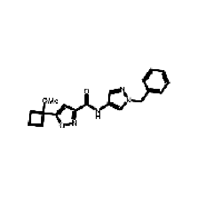 COC1(c2cc(C(=O)Nc3cnn(Cc4ccccc4)c3)no2)CCC1